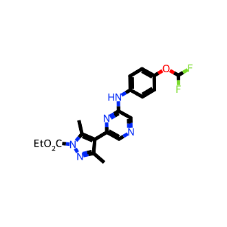 CCOC(=O)n1nc(C)c(-c2cncc(Nc3ccc(OC(F)F)cc3)n2)c1C